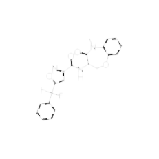 CN1C(=O)C(NC(=O)c2cc(C(F)(F)c3ccccc3)on2)COc2ccccc21